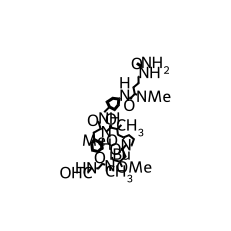 CCC(C)C(C(CC(=O)N1CCCC1C(OC)C(C)C(=O)NC(Cc1ccccc1)C(=O)NCc1ccc(NC(=O)C(CCCNC(N)=O)NC)cc1)OC)N(C)C(=O)CNC=O